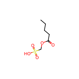 CCCCC(=O)OCS(=O)(=O)O